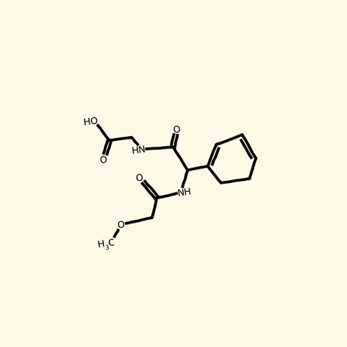 COCC(=O)NC(C(=O)NCC(=O)O)C1=CC=CCC1